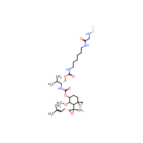 COC1C(OC(=O)N[C@@H](COC(=O)NCCCCCCNC(=O)CNSF)C(C)C)CCC2(CO2)C1[C@]1(C)O[C@@H]1CC=C(C)C